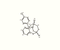 Clc1ccc(CN2C[C@@H]3CC[C@H]2Cc2ccccc2C3)cc1